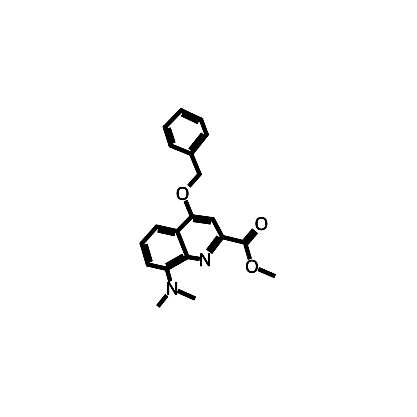 COC(=O)c1cc(OCc2ccccc2)c2cccc(N(C)C)c2n1